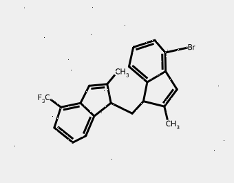 CC1=Cc2c(Br)cccc2C1CC1C(C)=Cc2c1cccc2C(F)(F)F